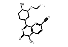 CCO[C@H]1CN(c2nc(=O)n(C)c3ccc(C#N)nc23)CC[C@H]1O